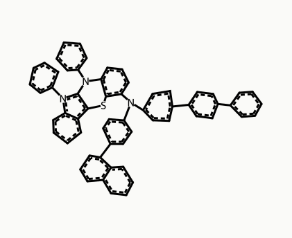 c1ccc(-c2ccc(-c3ccc(N(c4ccc(-c5cccc6ccccc56)cc4)c4cccc5c4Sc4c(n(-c6ccccc6)c6ccccc46)N5c4ccccc4)cc3)cc2)cc1